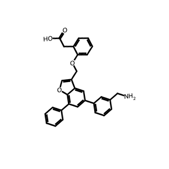 NCc1cccc(-c2cc(-c3ccccc3)c3occ(COc4ccccc4CC(=O)O)c3c2)c1